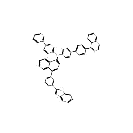 c1ccc(-c2ccc(N(c3ccc(-c4ccc(-c5cccc6ccccc56)cc4)cc3)c3ccc(-c4cccc(-c5cc6ccccc6o5)c4)c4ccccc34)cc2)cc1